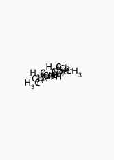 CC(Cl)CC(CCCOPOCCCC(CC(C)Cl)CC(C)Cl)CC(C)Cl